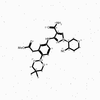 COC(=O)Cc1cc(Nc2nn([C@H]3COCCC3C#N)cc2C(N)=O)ccc1B1OCC(C)(C)CO1